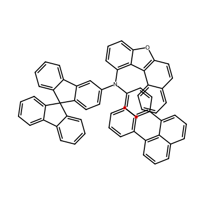 c1ccc(-c2cccc3cccc(-c4ccc(N(c5ccc6c(c5)-c5ccccc5C65c6ccccc6-c6ccccc65)c5cccc6oc7ccc8ccccc8c7c56)cc4)c23)cc1